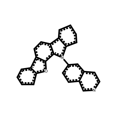 c1ccc2c(c1)oc1c2ccc2c3ccccc3n(-c3ccc4cnccc4c3)c21